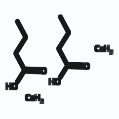 CCCC(=O)O.CCCC(=O)O.[CaH2].[CaH2]